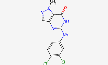 Cn1ncc2nc(Nc3ccc(Cl)c(Cl)c3)[nH]c(=O)c21